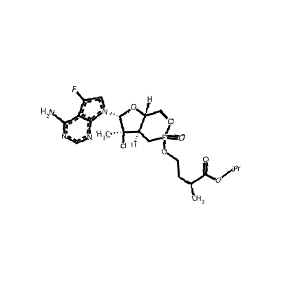 CC(C)OC(=O)[C@@H](C)CCOP1(=O)C[C@@H]2[C@@H](CO1)O[C@@H](n1cc(F)c3c(N)ncnc31)[C@]2(C)Cl